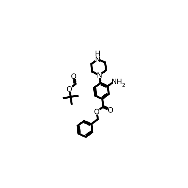 CC(C)(C)OC=O.Nc1cc(C(=O)OCc2ccccc2)ccc1N1CCNCC1